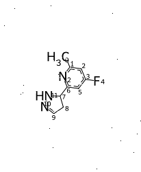 Cc1cc(F)cc(C2CC=NN2)n1